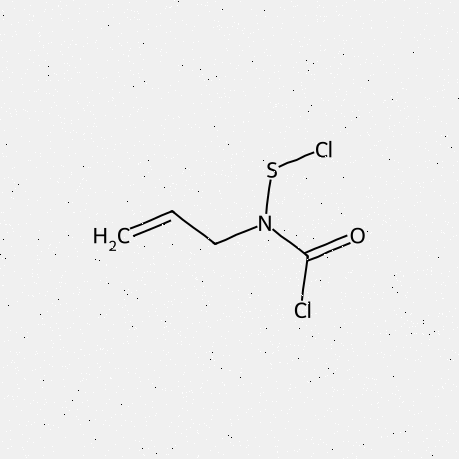 C=CCN(SCl)C(=O)Cl